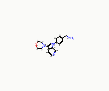 NCc1ccc(-n2cc(N3CCOCC3)c3ccncc32)cc1